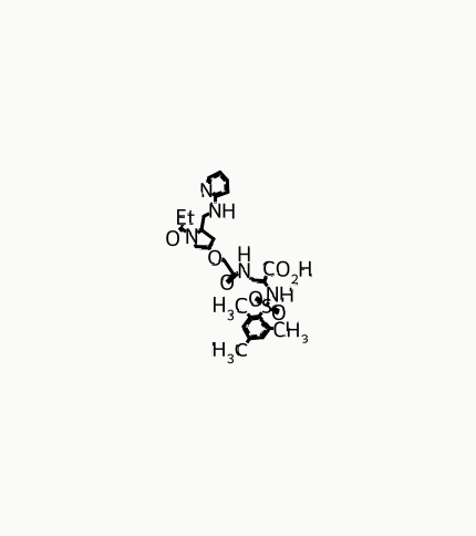 CCC(=O)N1CC(OCC(=O)NCC(NS(=O)(=O)c2c(C)cc(C)cc2C)C(=O)O)CC1CNc1ccccn1